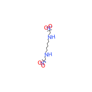 CC(C)(CCNCCCCCCCNCCC(C)(C)[N+](=O)[O-])[N+](=O)[O-]